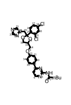 CCCCC(=O)Nc1nccc(-c2ccc(OCC3COC(Cn4cncn4)(c4ccc(Cl)cc4Cl)O3)cc2)n1